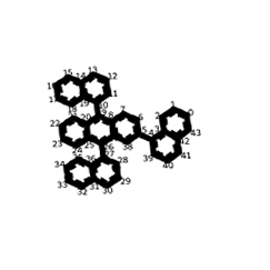 c1ccc2c(-c3ccc4c(-c5cccc6ccccc56)c5ccccc5c(-c5cccc6ccccc56)c4c3)cccc2c1